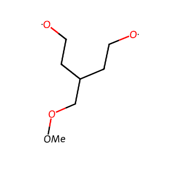 COOCC(CC[O])CC[O]